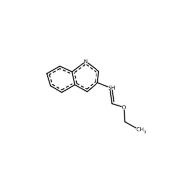 CCOC=[SH]c1cnc2ccccc2c1